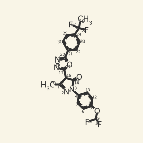 CC1=NN(c2ccc(OC(F)F)cc2)C(=O)C1c1nnc(-c2ccc(C(C)(F)F)cc2)o1